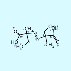 CCC(C)(/N=N/C(C)(CC)C(=O)O)C(=O)O